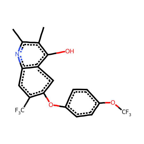 Cc1nc2cc(C(F)(F)F)c(Oc3ccc(OC(F)(F)F)cc3)cc2c(O)c1C